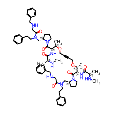 CN[C@@H](C)C(=O)N[C@H](C(=O)N1CCC[C@H]1CN(CCc1ccccc1)C(=O)CNCc1ccccc1)[C@@H](C)OCC#CCO[C@H](C)[C@H](NC(=O)[C@H](C)NC)C(=O)N1CCC[C@H]1CN(CCc1ccccc1)C(=O)CNCc1ccccc1